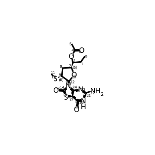 CCC(OC(C)=O)[C@@H]1C[C@@H](SC)[C@H](n2c(=O)sc3c(=O)[nH]c(N)nc32)O1